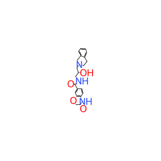 O=C1COc2cc(C(=O)NCC(O)CN3CCc4ccccc4C3)ccc2N1